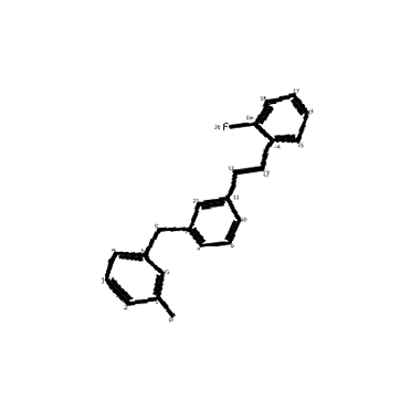 Cc1cccc(Cc2cccc(CCc3ccccc3F)c2)c1